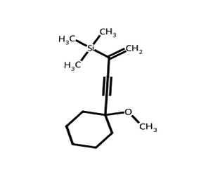 C=C(C#CC1(OC)CCCCC1)[Si](C)(C)C